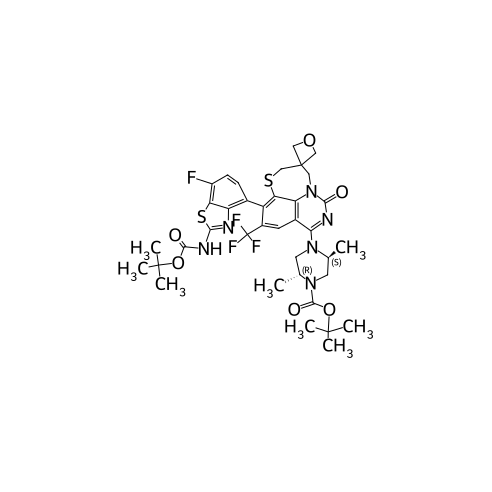 C[C@@H]1CN(c2nc(=O)n3c4c(c(-c5ccc(F)c6sc(NC(=O)OC(C)(C)C)nc56)c(C(F)(F)F)cc24)SCC2(COC2)C3)[C@@H](C)CN1C(=O)OC(C)(C)C